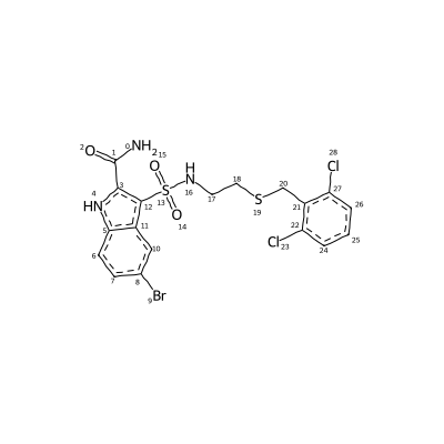 NC(=O)c1[nH]c2ccc(Br)cc2c1S(=O)(=O)NCCSCc1c(Cl)cccc1Cl